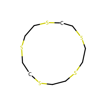 C1CSCCSCCSCCSCCS1